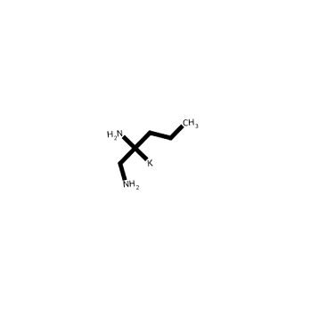 CCC[C](N)([K])CN